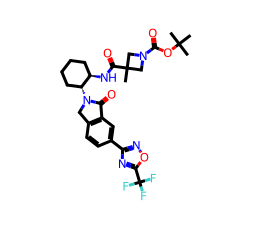 CC(C)(C)OC(=O)N1CC(C)(C(=O)N[C@@H]2CCCC[C@H]2N2Cc3ccc(-c4noc(C(F)(F)F)n4)cc3C2=O)C1